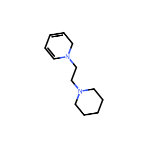 C1=CCN(CCN2CCCCC2)C=C1